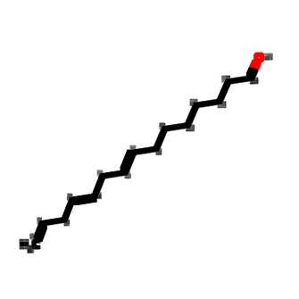 C=CCC=CCC=CCCCCCCC=O